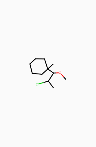 [CH2]C(Cl)C(OC)C1(C)CCCCC1